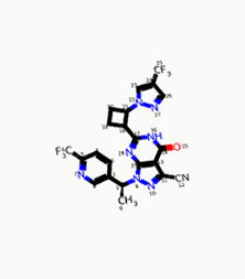 C[C@@H](c1ccc(C(F)(F)F)nc1)n1nc(C#N)c2c(=O)[nH]c(C3CCC3n3cc(C(F)(F)F)cn3)nc21